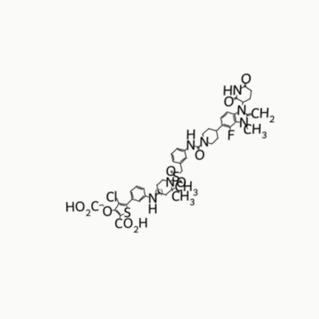 C=C1N(C)c2c(ccc(C3CCN(C(=O)Nc4cccc(CS(=O)(=O)N5CC[C@H](Nc6cccc(-c7sc(C(=O)O)c(OCC(=O)O)c7Cl)c6)CC5(C)C)c4)CC3)c2F)N1C1CCC(=O)NC1=O